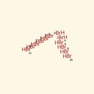 Br.Br.Br.Br.Br.Br.Br.Br.Br.Br.Br.Br